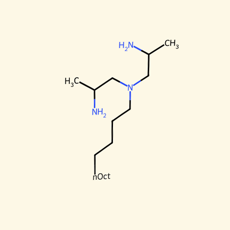 CCCCCCCCCCCCN(CC(C)N)CC(C)N